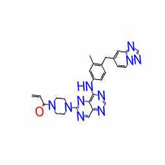 C=CC(=O)N1CCN(c2ncc3ncnc(Nc4ccc(Cc5ccn6ncnc6c5)c(C)c4)c3n2)CC1